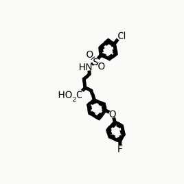 O=C(O)C(CCNS(=O)(=O)c1ccc(Cl)cc1)Cc1cccc(Oc2ccc(F)cc2)c1